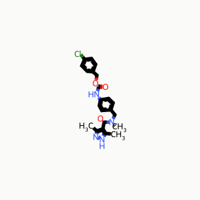 Cc1n[nH]c(C)c1C(=O)N(C)Cc1ccc(NC(=O)OCc2ccc(Cl)cc2)cc1